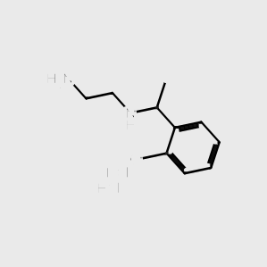 CC(NCCN)c1ccccc1Cl.Cl.Cl